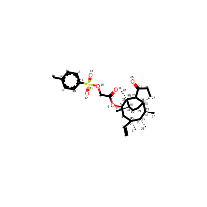 C=C[C@@]1(C)C[C@@H](OC(=O)COS(=O)(=O)c2ccc(C)cc2)[C@@]2(C)C3C(=O)CC[C@@]3(CC[C@H]2C)[C@@H](C)[C@@H]1C